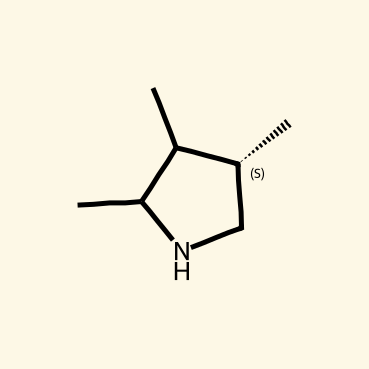 CC1NC[C@@H](C)C1C